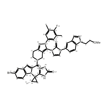 COCCn1ncc2cc(-n3ccn(-c4c5c(nn4-c4cc(C)c(F)c(C)c4)CCN(C(=O)c4cc6cc(Br)ccc6n4[C@@]4(c6noc(=O)[nH]6)C[C@@H]4C)C5)c3=O)ccc21